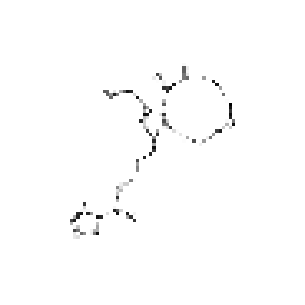 CCn1nc(CCCOC(=O)c2cncs2)c2c1C(=O)NCCCOCCC2